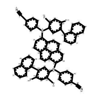 N#Cc1ccc(N(c2cc(-c3cccc4ccccc34)c(F)cc2F)c2ccc3ccc4c(N(c5ccc(C#N)cc5)c5cc(-c6cccc7ccccc67)c(F)cc5F)ccc5ccc2c3c54)cc1